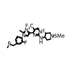 CSN1CCC(Nc2ncc(C(F)(F)F)c(-c3cn(-c4ccc(CN(C)C)cc4F)c(C)n3)n2)C(F)C1